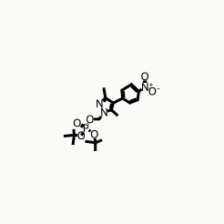 Cc1nn(COP(=O)(OC(C)(C)C)OC(C)(C)C)c(C)c1-c1ccc([N+](=O)[O-])cc1